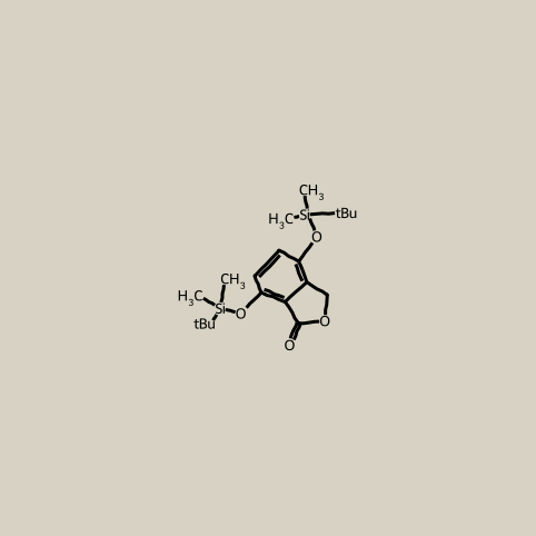 CC(C)(C)[Si](C)(C)Oc1ccc(O[Si](C)(C)C(C)(C)C)c2c1COC2=O